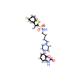 Cc1c(S(=O)(=O)NCCCCN2CCN(c3cccc4[nH]c(=O)oc34)CC2)sc2ccc(F)cc12